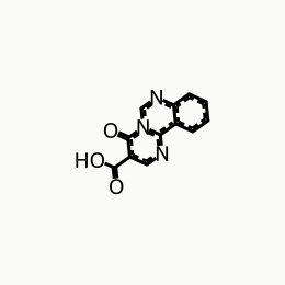 O=C(O)c1cnc2c3ccccc3ncn2c1=O